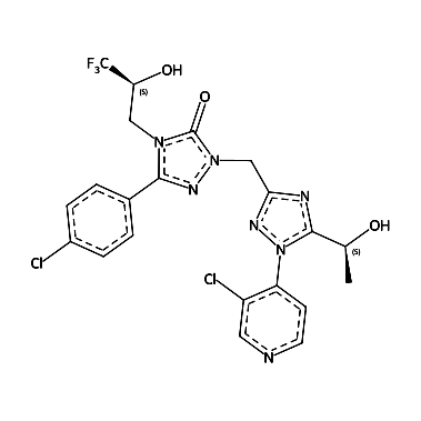 C[C@H](O)c1nc(Cn2nc(-c3ccc(Cl)cc3)n(C[C@H](O)C(F)(F)F)c2=O)nn1-c1ccncc1Cl